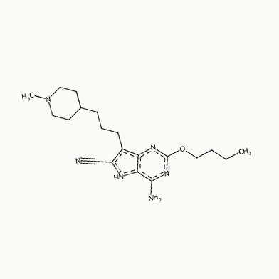 CCCCOc1nc(N)c2[nH]c(C#N)c(CCCC3CCN(C)CC3)c2n1